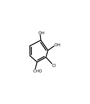 O=Cc1ccc(O)c(O)c1Cl